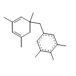 CC1=CC(C)(Cc2cc(C(C)(C)C)c(O)c(C(C)(C)C)c2)CC(C)=C1